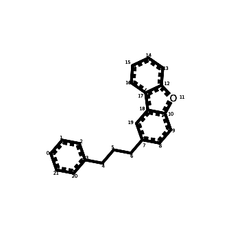 c1ccc(CCCc2ccc3oc4ccccc4c3c2)cc1